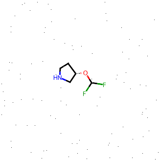 FC(F)O[C@H]1CCNC1